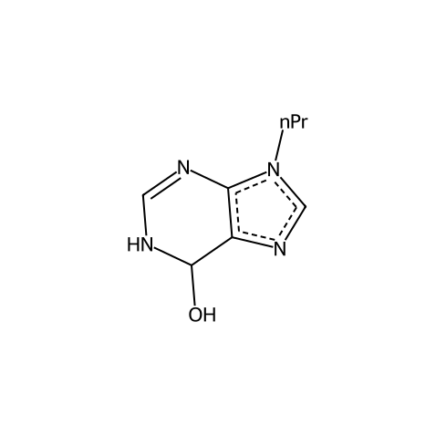 CCCn1cnc2c1N=CNC2O